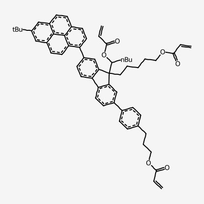 C=CC(=O)OCCCCCC1(C(CCCC)OC(=O)C=C)c2cc(-c3ccc(CCCOC(=O)C=C)cc3)ccc2-c2ccc(-c3ccc4ccc5cc(C(C)(C)C)cc6ccc3c4c56)cc21